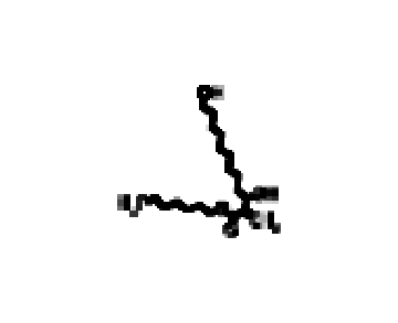 C=C(C(=O)OCCCCCCC)C(O)CCCCCCCCCO